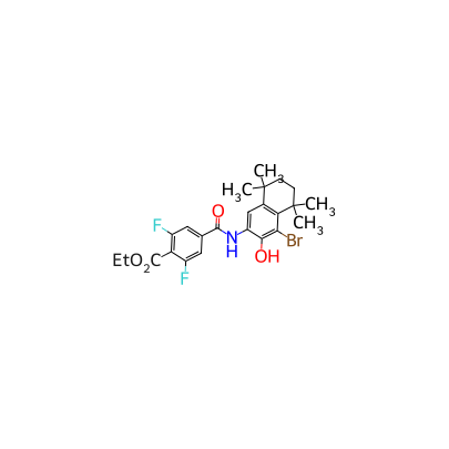 CCOC(=O)c1c(F)cc(C(=O)Nc2cc3c(c(Br)c2O)C(C)(C)CCC3(C)C)cc1F